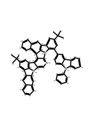 CC(C)(C)c1cc(-c2ccc3c(c2)c2ccccc2n3-c2ccccc2)c2c(c1)c1cc3ccccc3c3c4c5c6cc(C(C)(C)C)cc7c8cc9ccccc9cc8n(c5cnc4n2c13)c76